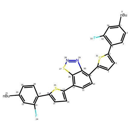 CCCCc1ccc(-c2ccc(-c3ccc(-c4ccc(-c5ccc(CCCC)cc5F)s4)c4snnc34)s2)c(F)c1